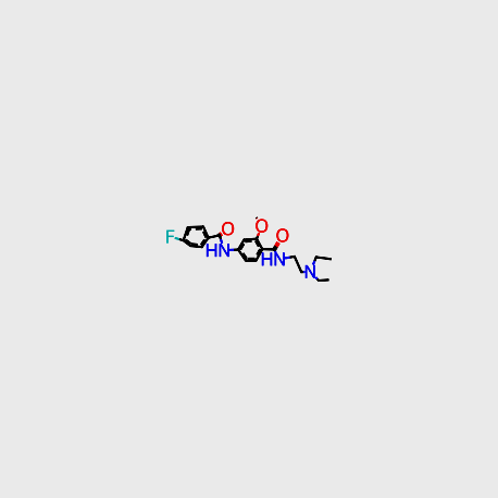 CCN(CC)CCNC(=O)c1ccc(NC(=O)c2ccc(F)cc2)cc1OC